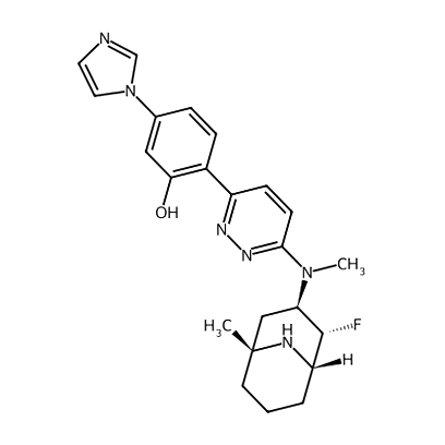 CN(c1ccc(-c2ccc(-n3ccnc3)cc2O)nn1)[C@@H]1C[C@@]2(C)CCC[C@H](N2)[C@H]1F